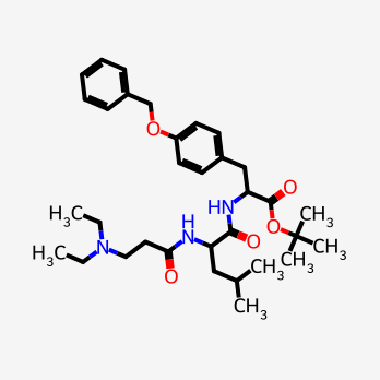 CCN(CC)CCC(=O)NC(CC(C)C)C(=O)NC(Cc1ccc(OCc2ccccc2)cc1)C(=O)OC(C)(C)C